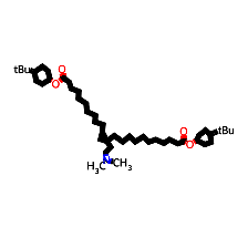 CN(C)CCC1(CCCCCCCCCCC(=O)OC2CCC(C(C)(C)C)CC2)CC1CCCCCCCCCC(=O)OC1CCC(C(C)(C)C)CC1